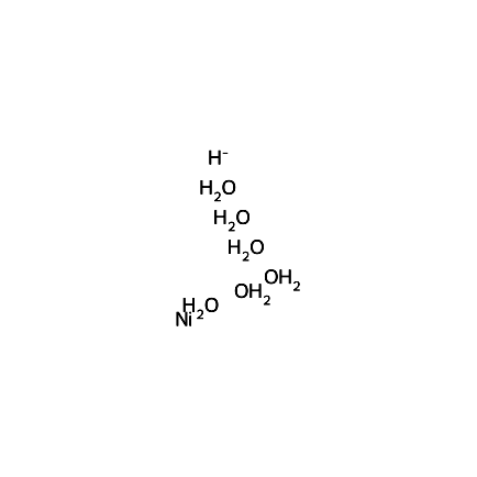 O.O.O.O.O.O.[H-].[Ni]